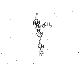 COC[C@H]1CN(c2ncc(/C=C/c3ccc(-n4ccnc4)nc3)cn2)CCN1c1ncc(CF)cn1